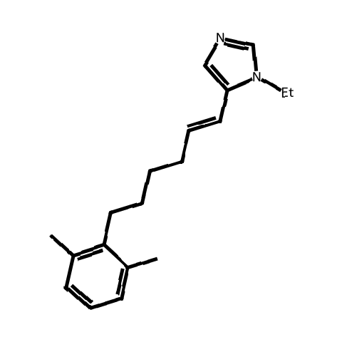 CCn1cncc1C=CCCCCc1c(C)cccc1C